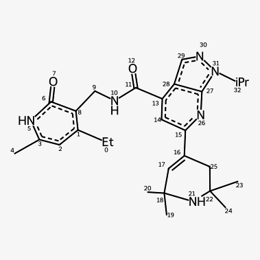 CCc1cc(C)[nH]c(=O)c1CNC(=O)c1cc(C2=CC(C)(C)NC(C)(C)C2)nc2c1cnn2C(C)C